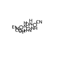 CCN(C(=O)O)c1ccc(Nc2ccnc3c2C(=O)Nc2cc(C#N)ccc2N3)cc1O